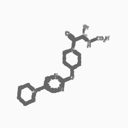 CC(C)[C@H](NC(=O)O)C(=O)N1CCC(Oc2ncc(N3CCCCC3)cn2)CC1